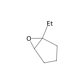 CCC12CCCC1O2